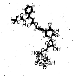 CC(C)(C)OC(=O)NC(CC(=O)OCC#Cc1cn(C2CC(O)C(COP(=O)(O)OP(=O)(O)OP(=O)(O)O)O2)c(=O)[nH]c1=O)c1ccccc1